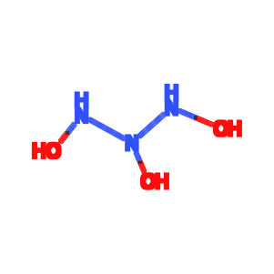 ONN(O)NO